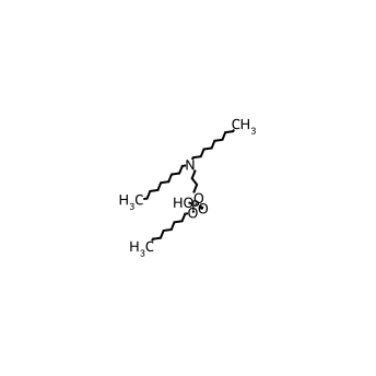 CCCCCCCCCN(CCCCCCCCC)CCCCOP(=O)(O)OCCCCCCCC